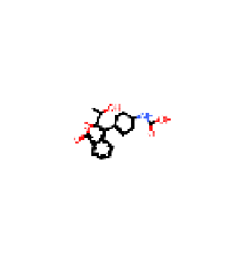 CC(O)c1oc(=O)c2ccccc2c1C1=CCC(NC(=O)O)CC1